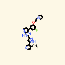 Cc1ccncc1-c1cc(-c2nc3c(-c4cc(F)cc(OCCN5CCCC5)c4)ccnc3[nH]2)n[nH]1